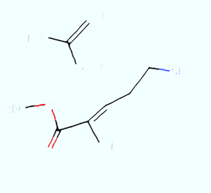 C=C(C)C(=O)O.CC(=CCCN)C(=O)OC(C)(C)C